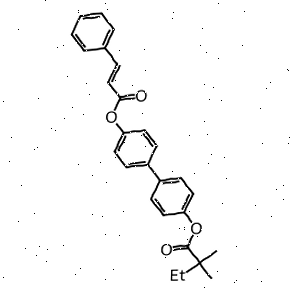 CCC(C)(C)C(=O)Oc1ccc(-c2ccc(OC(=O)/C=C/c3ccccc3)cc2)cc1